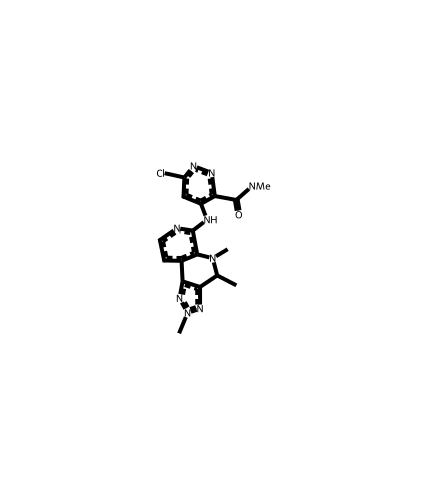 CNC(=O)c1nnc(Cl)cc1Nc1nccc2c1N(C)C(C)c1nn(C)nc1-2